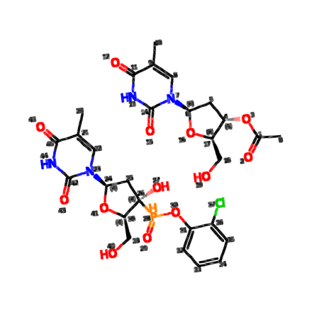 CC(=O)O[C@H]1C[C@H](n2cc(C)c(=O)[nH]c2=O)O[C@@H]1CO.Cc1cn([C@H]2C[C@@](O)([PH](=O)Oc3ccccc3Cl)[C@@H](CO)O2)c(=O)[nH]c1=O